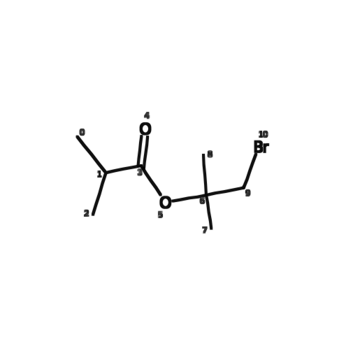 CC(C)C(=O)OC(C)(C)CBr